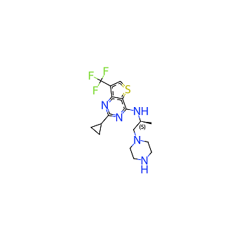 C[C@@H](CN1CCNCC1)Nc1nc(C2CC2)nc2c(C(F)(F)F)csc12